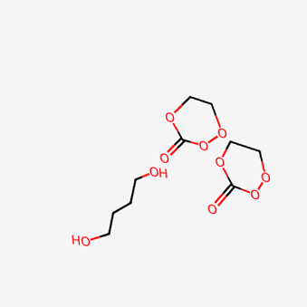 O=C1OCCOO1.O=C1OCCOO1.OCCCCO